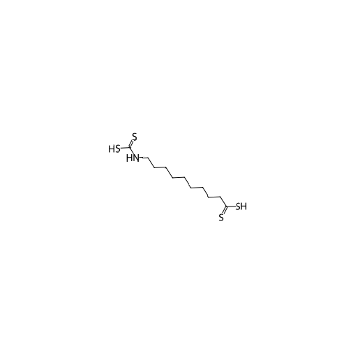 S=C(S)CCCCCCCCCNC(=S)S